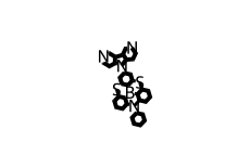 c1ccc(N2c3cccc4c3B3c5c(cc(-n6c7ccncc7c7cnccc76)cc5Sc5cccc2c53)S4)cc1